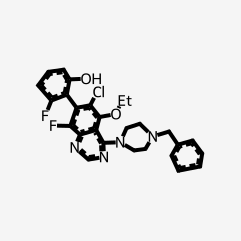 CCOc1c(Cl)c(-c2c(O)cccc2F)c(F)c2ncnc(N3CCN(Cc4ccccc4)CC3)c12